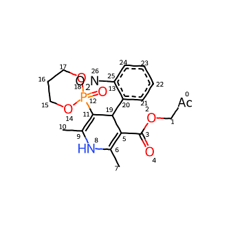 CC(=O)COC(=O)C1=C(C)NC(C)=C(P2(=O)OCCCO2)C1c1ccccc1[N+](=O)[O-]